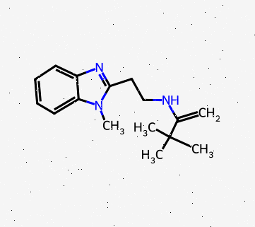 C=C(NCCc1nc2ccccc2n1C)C(C)(C)C